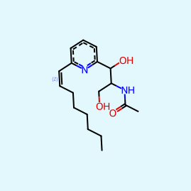 CCCCCC/C=C\c1cccc(C(O)C(CO)NC(C)=O)n1